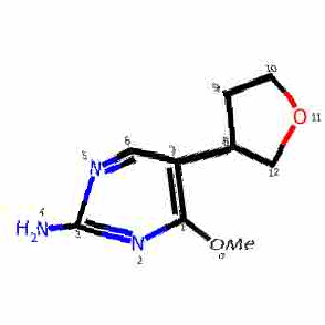 COc1nc(N)ncc1C1CCOC1